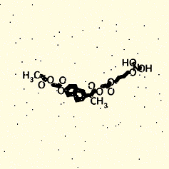 CCC(=O)OCC(=O)Oc1ccc2cc(C(C)C(=O)OCC(=O)OCCCCON(O)O)ccc2c1